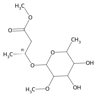 COC(=O)C[C@@H](C)OC1OC(C)C(O)C(O)C1OC